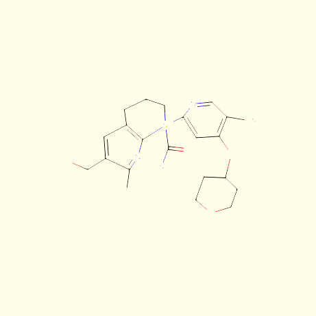 N#Cc1cnc([N+]2(C(N)=O)CCCc3cc(CO)c(C=O)nc32)cc1OC1CCOCC1